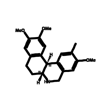 COc1cc2c(cc1C)[C@@H]1c3cc(OC)c(OC)cc3CC[C@H]1NC2